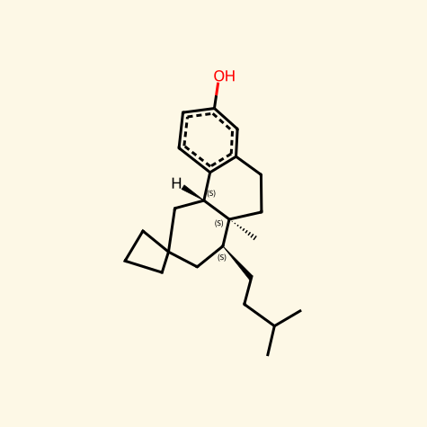 CC(C)CC[C@H]1CC2(CCC2)C[C@@H]2c3ccc(O)cc3CC[C@@]12C